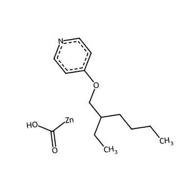 CCCCC(CC)COc1ccncc1.O=[C](O)[Zn]